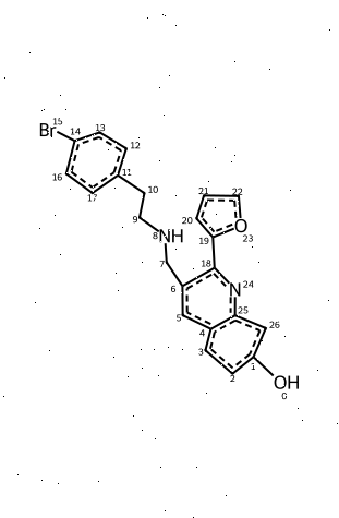 Oc1ccc2cc(CNCCc3ccc(Br)cc3)c(-c3ccco3)nc2c1